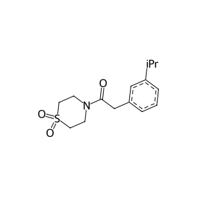 CC(C)c1cccc(CC(=O)N2CCS(=O)(=O)CC2)c1